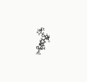 CCN1CCC[C@@H]1COc1cnn(C)c1-c1ccn2nc(NC(=O)C3CC3)cc2c1